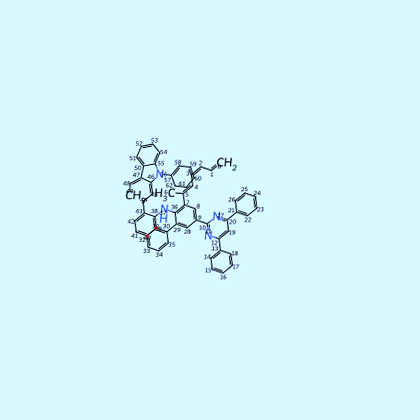 C=C/C=C\C=C(/C)c1cc(-c2nc(-c3ccccc3)cc(-c3ccccc3)n2)cc(-c2ccccc2)c1Nc1ccccc1C/C=c1\c(=C/C)c2ccccc2n1C1=CC=CCC1